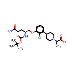 CC(C(=O)O)N1CCC(c2cccc(OC[C@H](CCC(N)=O)NC(=O)OC(C)(C)C)c2Cl)CC1